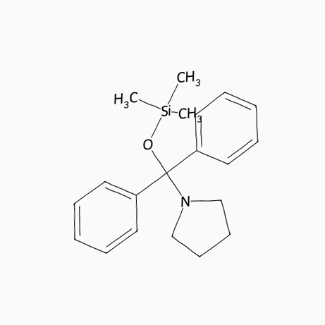 C[Si](C)(C)OC(c1ccccc1)(c1ccccc1)N1CCCC1